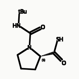 CC(C)(C)NC(=O)N1CCC[C@H]1C(=O)S